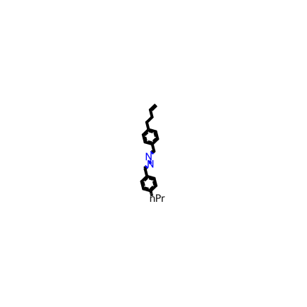 C=CCCc1ccc(/C=N/N=C/c2ccc(CCC)cc2)cc1